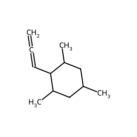 C=C=CC1C(C)CC(C)CC1C